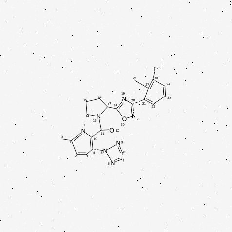 Cc1ccc(-n2nccn2)c(C(=O)N2CCCC2c2nc(-c3cccc(F)c3C)no2)n1